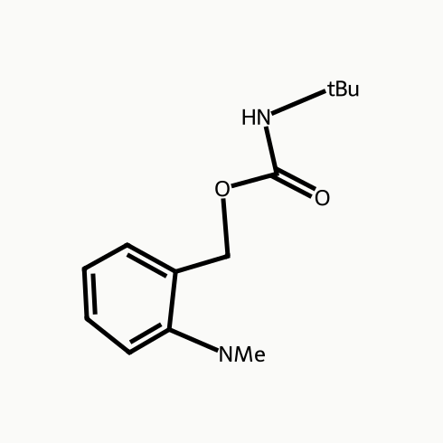 CNc1ccccc1COC(=O)NC(C)(C)C